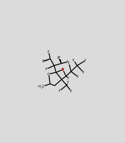 CC1CC(C(F)(F)F)(C(F)(F)C(F)(F)C(F)(F)F)C(F)(C(F)(C(F)(F)F)C(F)(F)F)O1